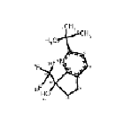 CC(C)(C)c1ccc2c(n1)C(O)(C(F)(F)F)CC2